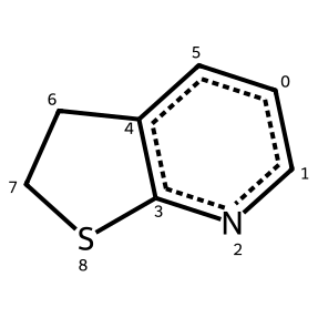 c1cnc2c(c1)CCS2